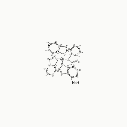 C1=CC([Si](C2C=Cc3ccccc32)(C2C=Cc3ccccc32)C2C=Cc3ccccc32)c2ccccc21.[NaH]